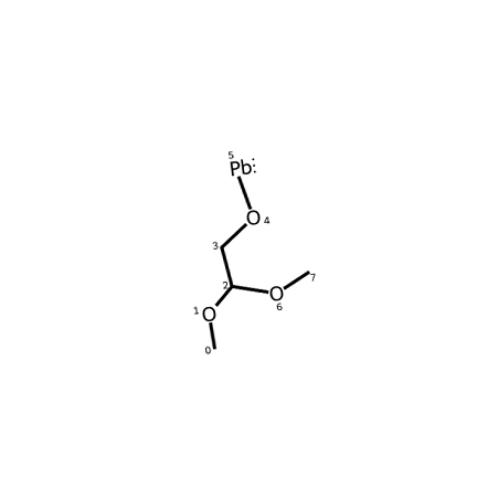 COC(C[O][Pb])OC